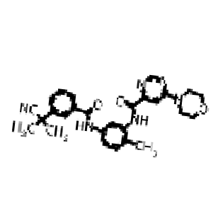 Cc1ccc(NC(=O)c2cccc(C(C)(C)C#N)c2)cc1NC(=O)c1cc(N2CCOCC2)ncn1